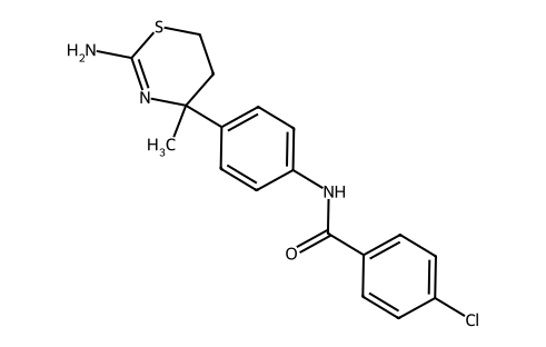 CC1(c2ccc(NC(=O)c3ccc(Cl)cc3)cc2)CCSC(N)=N1